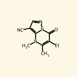 CCc1c(C)n(C)c2c(C#N)cnn2c1=O